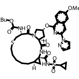 COc1ccc2c(O[C@@H]3C[C@H]4C(=O)N[C@]5(C(=O)NS(=O)(=O)C6CC6)C[C@H]5CCCCCSC[C@H](NC(=O)OC(C)(C)C)C(=O)N4C3)nc(-n3cccn3)cc2c1